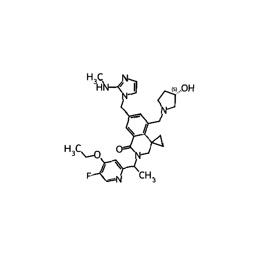 CCOc1cc(C(C)N2CC3(CC3)c3c(CN4CC[C@H](O)C4)cc(Cn4ccnc4NC)cc3C2=O)ncc1F